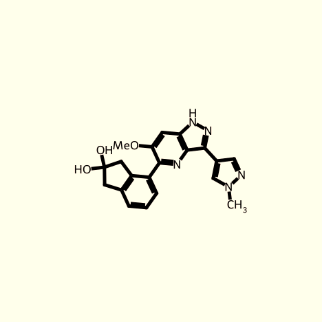 COc1cc2[nH]nc(-c3cnn(C)c3)c2nc1-c1cccc2c1CC(O)(O)C2